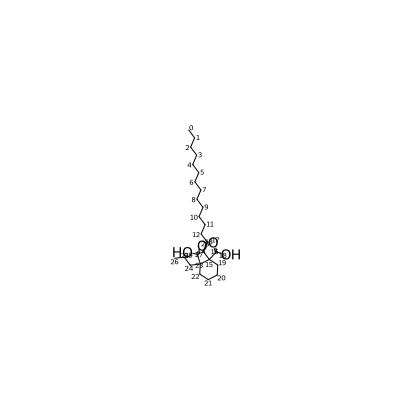 CCCCCCCCCCCCCCCC1(C(=O)O)CCCCC1(CCC)C(=O)O